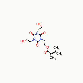 CC(C)=C(C)C(=O)OCCn1c(=O)n(CCO)c(=O)n(CCO)c1=O